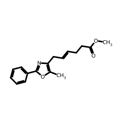 COC(=O)CCC=CCc1nc(-c2ccccc2)oc1C